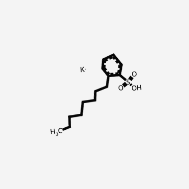 CCCCCCCCc1ccccc1S(=O)(=O)O.[K]